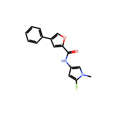 Cn1cc(NC(=O)c2cc(-c3ccccc3)co2)cc1F